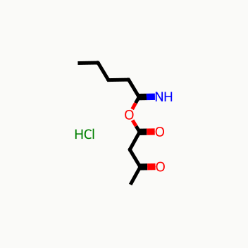 CCCCC(=N)OC(=O)CC(C)=O.Cl